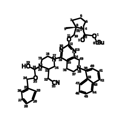 CC(C)(C)OC(=O)N1CCC[C@@]1(C)COc1nc2c(c(N3CCN(C(O)OCc4ccccc4)C(CC#N)C3)n1)CCN(c1cccc3ccccc13)C2